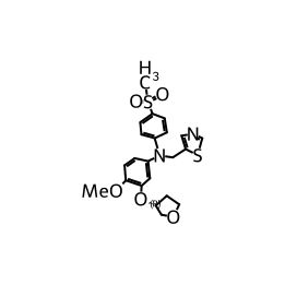 COc1ccc(N(Cc2cncs2)c2ccc(S(C)(=O)=O)cc2)cc1O[C@@H]1CCOC1